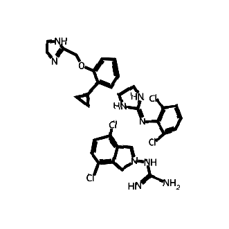 Clc1cccc(Cl)c1N=C1NCCN1.N=C(N)NN1Cc2c(Cl)ccc(Cl)c2C1.c1ccc(C2CC2)c(OCC2=NCCN2)c1